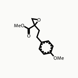 COC(=O)C1(CCc2ccc(OC)cc2)CO1